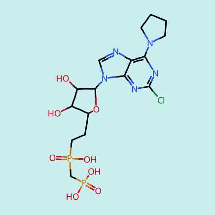 O=P(O)(O)CP(=O)(O)CCC1OC(n2cnc3c(N4CCCC4)nc(Cl)nc32)C(O)C1O